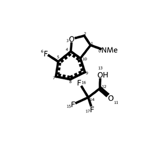 CNC1COc2c(F)cccc21.O=C(O)C(F)(F)F